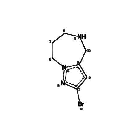 Brc1cc2n(n1)CCCNC2